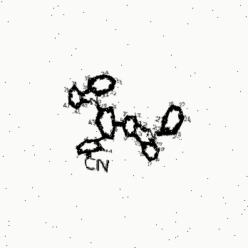 N#Cc1cccc(-c2cc(-c3ccc4c(c3)c3ccccc3n4-c3ccccc3)cc(-n3c4ccccc4c4ccccc43)c2)c1